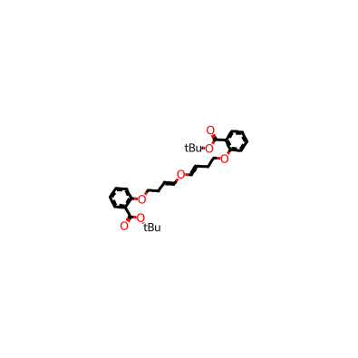 CC(C)(C)OC(=O)c1ccccc1OCCC=COC=CCCOc1ccccc1C(=O)OC(C)(C)C